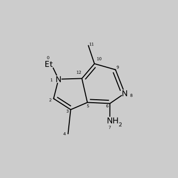 CCn1cc(C)c2c(N)ncc(C)c21